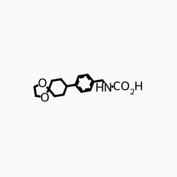 O=C(O)NCc1ccc(C2CCC3(CC2)OCCO3)cc1